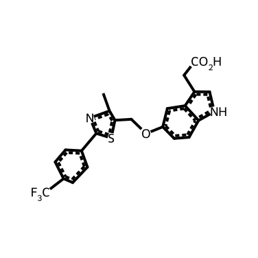 Cc1nc(-c2ccc(C(F)(F)F)cc2)sc1COc1ccc2[nH]cc(CC(=O)O)c2c1